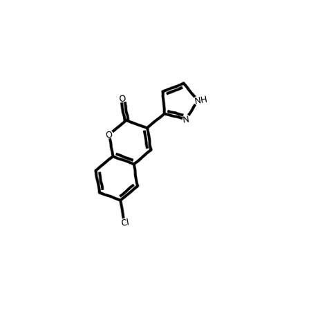 O=c1oc2ccc(Cl)cc2cc1-c1cc[nH]n1